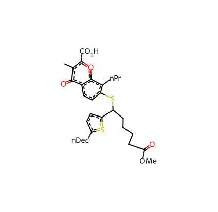 CCCCCCCCCCc1ccc(C(CCCCC(=O)OC)Sc2ccc3c(=O)c(C)c(C(=O)O)oc3c2CCC)s1